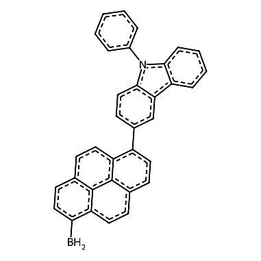 Bc1ccc2ccc3c(-c4ccc5c(c4)c4ccccc4n5-c4ccccc4)ccc4ccc1c2c43